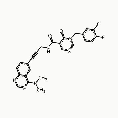 CN(C)c1ncnc2ccc(C#CCNC(=O)c3cncn(Cc4ccc(F)c(F)c4)c3=O)cc12